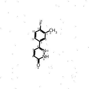 Cc1cc(-c2ccc(=O)[nH]n2)ccc1F